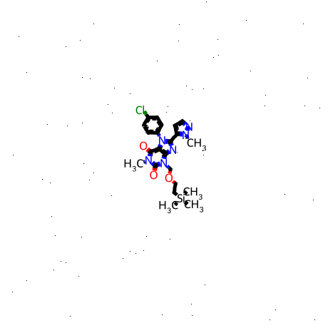 Cn1nccc1-c1nc2c(c(=O)n(C)c(=O)n2COCC[Si](C)(C)C)n1-c1ccc(Cl)cc1